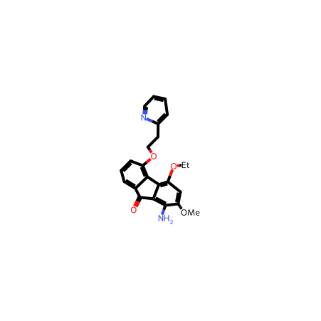 CCOc1cc(OC)c(N)c2c1-c1c(OCCc3ccccn3)cccc1C2=O